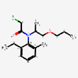 CCCOCC(C)N(C(=O)CCl)c1c(C)cccc1CC